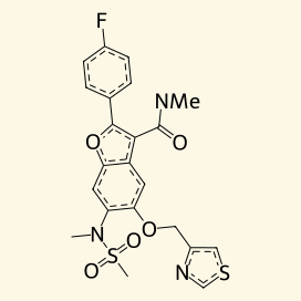 CNC(=O)c1c(-c2ccc(F)cc2)oc2cc(N(C)S(C)(=O)=O)c(OCc3cscn3)cc12